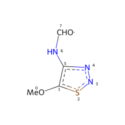 COc1snnc1N[C]=O